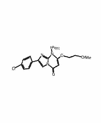 CCCCCn1c(OCCOC)cc(=O)n2cc(-c3ccc(Cl)cc3)nc12